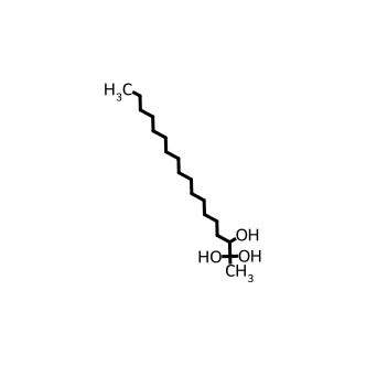 CCCCCCCCCCCCCCCC(O)C(C)(O)O